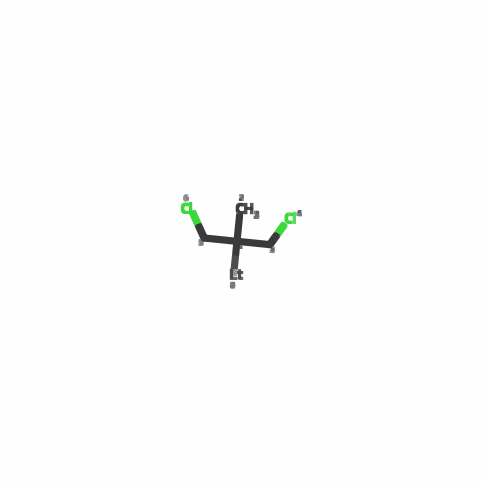 CCC(C)(CCl)CCl